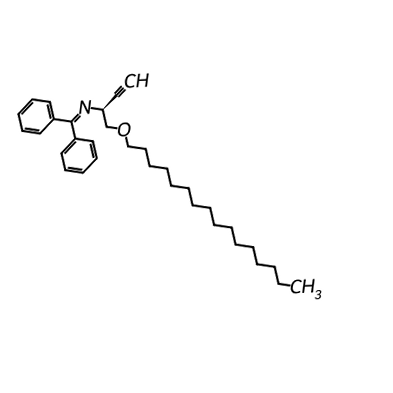 C#C[C@@H](COCCCCCCCCCCCCCCCC)N=C(c1ccccc1)c1ccccc1